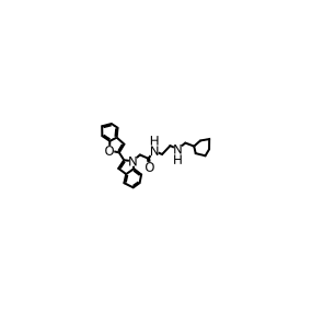 O=C(Cn1c(-c2cc3ccccc3o2)cc2ccccc21)NCCNCC1CCCCC1